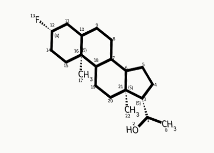 CC(O)[C@H]1CCC2C3CCC4C[C@@H](F)CC[C@]4(C)C3CC[C@@]21C